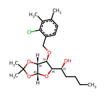 CCCC[C@H](O)[C@H]1O[C@@H]2OC(C)(C)O[C@@H]2[C@H]1OCc1ccc(C)c(C)c1Cl